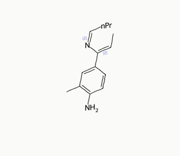 C/C=C(\N=C/CCC)c1ccc(N)c(C)c1